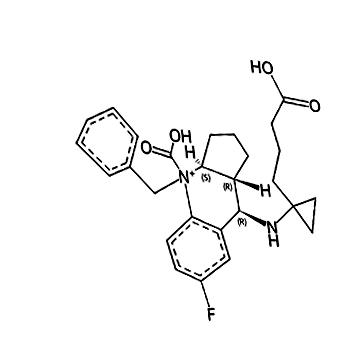 O=C(O)CCCC1(N[C@H]2c3cc(F)ccc3[N+](Cc3ccccc3)(C(=O)O)[C@H]3CCC[C@H]23)CC1